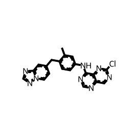 Cc1cc(Nc2ncnc3cnc(Cl)nc23)ccc1Cc1ccn2ncnc2c1